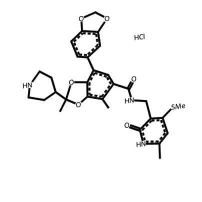 CSc1cc(C)[nH]c(=O)c1CNC(=O)c1cc(-c2ccc3c(c2)OCO3)c2c(c1C)OC(C)(C1CCNCC1)O2.Cl